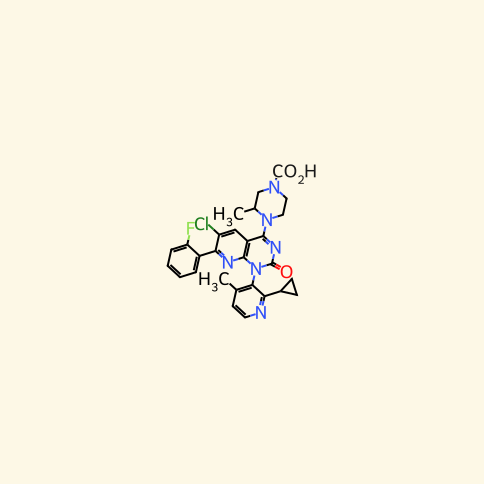 Cc1ccnc(C2CC2)c1-n1c(=O)nc(N2CCN(C(=O)O)CC2C)c2cc(Cl)c(-c3ccccc3F)nc21